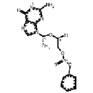 CC[C@@H](CO[PH](=S)Oc1ccccc1)O[C@H](C)n1cnc2c(=O)[nH]c(N)nc21